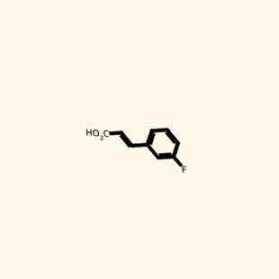 O=C(O)/C=C/c1c[c]cc(F)c1